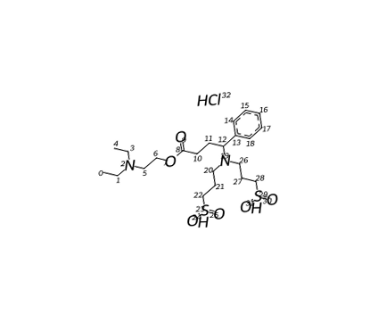 CCN(CC)CCOC(=O)CCC(c1ccccc1)N(CCC[SH](=O)=O)CCC[SH](=O)=O.Cl